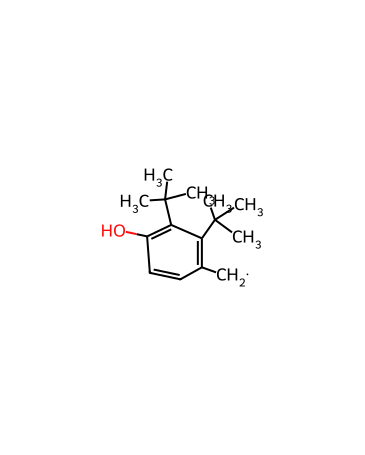 [CH2]c1ccc(O)c(C(C)(C)C)c1C(C)(C)C